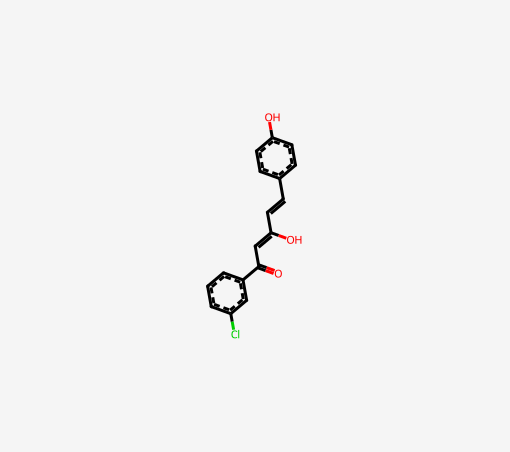 O=C(C=C(O)C=Cc1ccc(O)cc1)c1cccc(Cl)c1